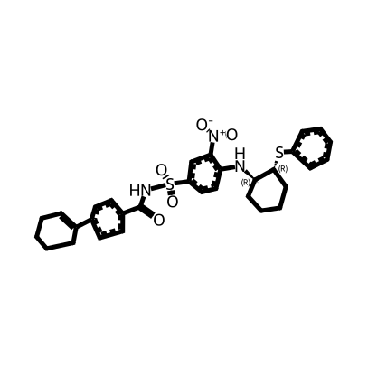 O=C(NS(=O)(=O)c1ccc(N[C@@H]2CCCC[C@H]2Sc2ccccc2)c([N+](=O)[O-])c1)c1ccc(C2=CCCCC2)cc1